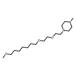 COCCCCCCCOCCOCCN1CCN(C)CC1